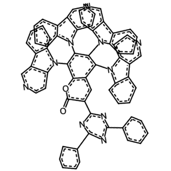 O=c1oc2c(-n3c4ccccc4c4cnccc43)c(-n3c4ccccc4c4cnccc43)c(-n3c4ccccc4c4cnccc43)c(-n3c4ccccc4c4cnccc43)c2cc1-c1nc(-c2ccccc2)nc(-c2ccccc2)n1